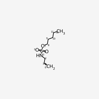 C=CCNS(=O)(=O)OCCCCC